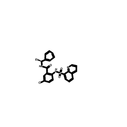 CC[C@H](NC(=O)c1cc(Cl)ccc1NS(=O)(=O)c1cccc2cccnc12)c1ccccc1